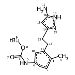 Cc1ccc(NC(=O)OC(C)(C)C)cc1CCc1cc(N)[nH]n1